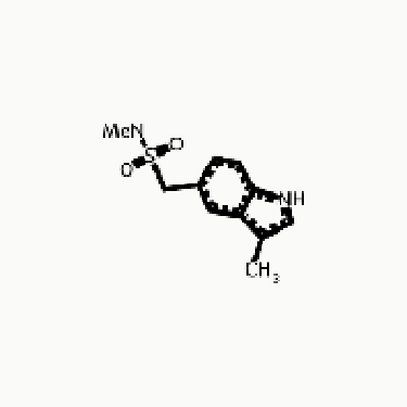 CNS(=O)(=O)Cc1ccc2[nH]cc(C)c2c1